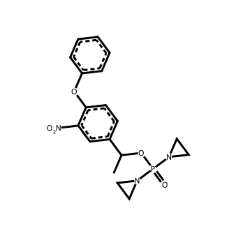 CC(OP(=O)(N1CC1)N1CC1)c1ccc(Oc2ccccc2)c([N+](=O)[O-])c1